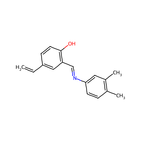 C=Cc1ccc(O)c(C=Nc2ccc(C)c(C)c2)c1